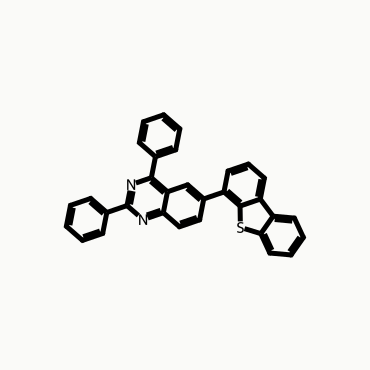 c1ccc(-c2nc(-c3ccccc3)c3cc(-c4cccc5c4sc4ccccc45)ccc3n2)cc1